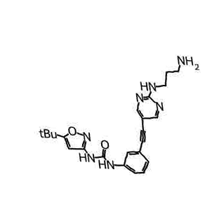 CC(C)(C)c1cc(NC(=O)Nc2cccc(C#Cc3cnc(NCCCN)nc3)c2)no1